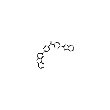 c1ccc2sc(-c3ccc(Nc4ccc(-c5ccc6sc7ccccc7c6c5)cc4)cc3)nc2c1